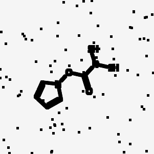 O=C(On1cccc1)N(S)S